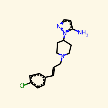 Nc1ccnn1C1CCN(CC=Cc2ccc(Cl)cc2)CC1